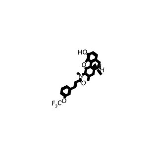 CC1C[C@@]2(O)[C@H]3Cc4ccc(O)c5c4[C@@]2(CCN3C)C(O5)C1N(C)C(=O)/C=C/c1cccc(OC(F)(F)F)c1